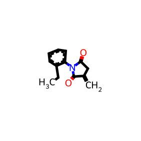 C=C1CC(=O)N(c2ccccc2CC)C1=O